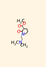 COC(=O)c1cccn(CCN(C)C)c1=O